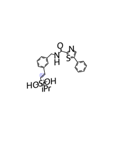 CC(C)[Si](O)(O)/C=C/c1cccc(CNC(=O)c2ncc(-c3ccccc3)s2)c1